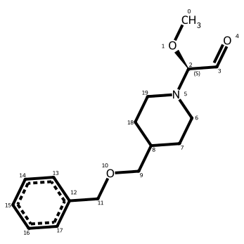 CO[C@@H](C=O)N1CCC(COCc2ccccc2)CC1